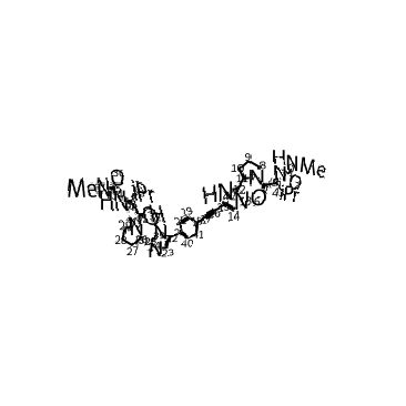 CNC(=O)N[C@H](C(=O)N1CCCC1c1ncc(C#Cc2ccc(-c3cnc([C@@H]4CCCN4C(=O)[C@@H](NC(=O)NC)C(C)C)[nH]3)cc2)[nH]1)C(C)C